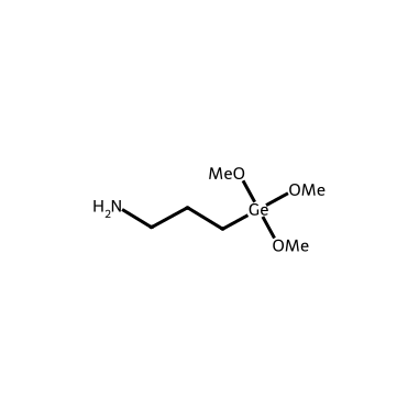 C[O][Ge]([CH2]CCN)([O]C)[O]C